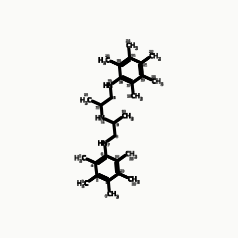 Cc1c(C)c(C)c(NCC(C)NC(C)CNc2c(C)c(C)c(C)c(C)c2C)c(C)c1C